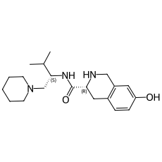 CC(C)[C@@H](CN1CCCCC1)NC(=O)[C@H]1Cc2ccc(O)cc2CN1